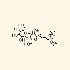 C[Si](C)(C)O[Si](C)(CCCO[C@@H]1O[C@H](CO)[C@@H](O[C@H]2O[C@H](CO)[C@@H](O)[C@H](O)[C@H]2O)[C@H](O)[C@H]1O)O[Si](C)(C)C